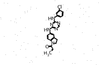 C=CC(=O)N1CCc2cc(Nc3ncnc(Nc4cccc(Cl)c4)n3)ccc21